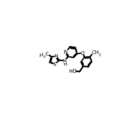 Cc1csc(Nc2cc(Oc3cc(CO)ccc3C)ccn2)n1